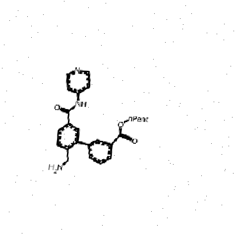 CCCCCOC(=O)c1cccc(-c2cc(C(=O)Nc3ccncc3)ccc2CN)c1